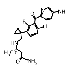 C[C@@H](CC(N)=O)NCC1(c2ccc(Cl)c(C(=O)c3ccc(N)cn3)c2F)CC1